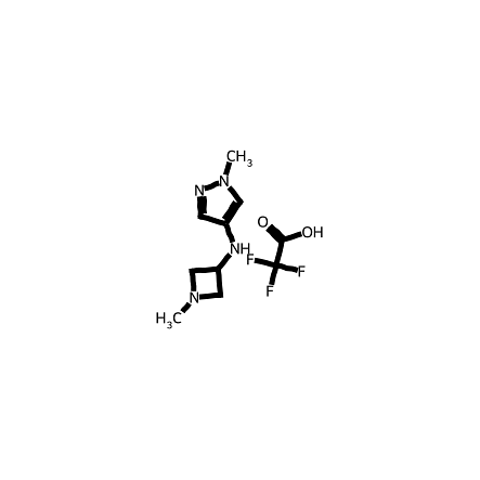 CN1CC(Nc2cnn(C)c2)C1.O=C(O)C(F)(F)F